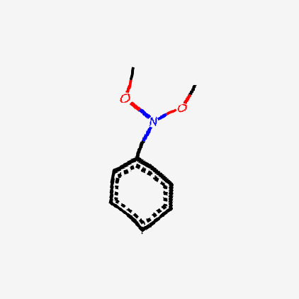 CON(OC)c1cc[c]cc1